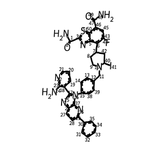 NC(=O)c1nc2c(C3CCN(Cc4ccc(-n5c(-c6cccnc6N)nc6ccc(-c7ccccc7)nc65)cc4)C(I)C3)c(F)cc(C(N)=O)c2s1